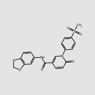 CS(=O)(=O)c1ccc(-n2cc(C(=O)Nc3ccc4c(c3)OCO4)ccc2=O)cc1